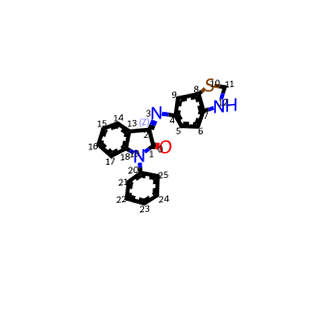 O=C1/C(=N\c2ccc3c(c2)SCN3)c2ccccc2N1c1ccccc1